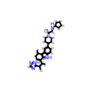 C/C(C1=CCC(C)c2c1[nH]c1ccc(C3CCN(C(=O)CNC4CCCC4)CC3)cc21)=C(\C)c1ncn[nH]1